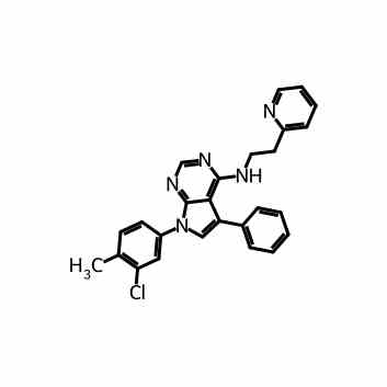 Cc1ccc(-n2cc(-c3ccccc3)c3c(NCCc4ccccn4)ncnc32)cc1Cl